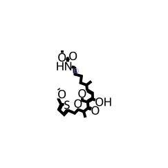 COCc1ccc(CCC(C)C(=O)c2c(O)cc(C(C)CC/C=C/NC(=O)OC)oc2=O)s1